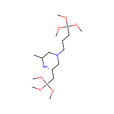 CO[Si](CCCN(CCC[Si](OC)(OC)OC)CC(C)N)(OC)OC